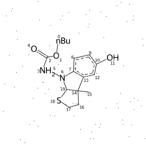 CCCCOC(N)=O.CN1c2ccc(O)cc2C2(C)CCSC12